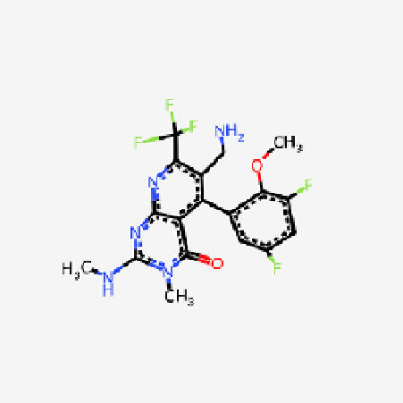 CNc1nc2nc(C(F)(F)F)c(CN)c(-c3cc(F)cc(F)c3OC)c2c(=O)n1C